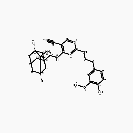 COc1cc(CCNc2ncc(C#N)c(NC[C@]34CC5C[C@H](C3)[C@@H](N)[C@@H](C5)C4)n2)ccc1O